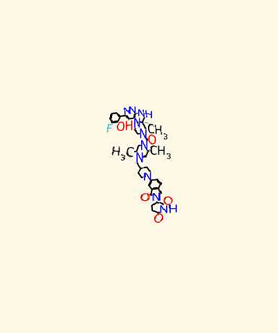 CC[C@@]12CNc3nnc(-c4cccc(F)c4O)cc3N1CCN(C(=O)N1C[C@H](C)N(CC3CCN(c4ccc5c(c4)C(=O)N([C@H]4CCC(=O)NC4=O)C5)CC3)C[C@H]1C)C2